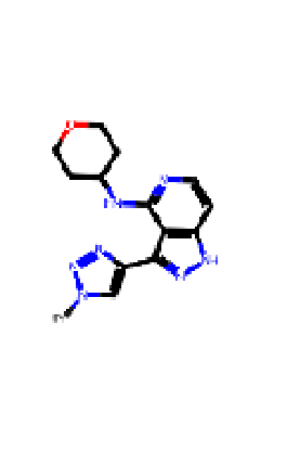 CC(C)n1cc(-c2n[nH]c3ccnc(NC4CCOCC4)c23)nn1